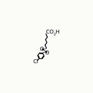 O=C(O)CCCCCCS(=O)(=O)c1ccc(Cl)cc1